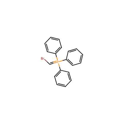 BrC=P(c1ccccc1)(c1ccccc1)c1ccccc1